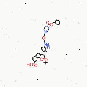 Cc1c(C(CC(=O)OC(C)(C)C)c2ccc3ccc(C(=O)O)cc3c2)ccc2c1nnn2CCOCCN1CCN(C(=O)OCc2ccccc2)CC1